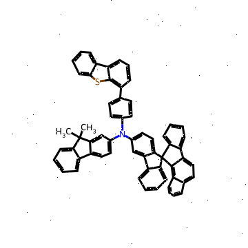 CC1(C)c2ccccc2-c2ccc(N(c3ccc(-c4cccc5c4sc4ccccc45)cc3)c3ccc4c(c3)-c3ccccc3C43c4ccccc4-c4ccc5ccccc5c43)cc21